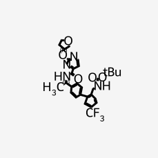 C[C@@H](NC(=O)c1ccnc(O[C@@H]2CCOC2)n1)c1ccc(-c2cc(C(F)(F)F)ccc2CNC(=O)OC(C)(C)C)cc1